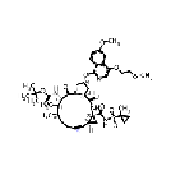 COCCOc1cnc(O[C@@H]2C[C@H]3C(=O)N[C@]4(C(=O)NS(=O)(=O)C5(C)CC5)C[C@H]4/C=C\CC[C@@H](C)[C@@H](C)[C@H](NC(=O)OC(C)(C)C)C(=O)N3C2)c2ccc(OC)cc12